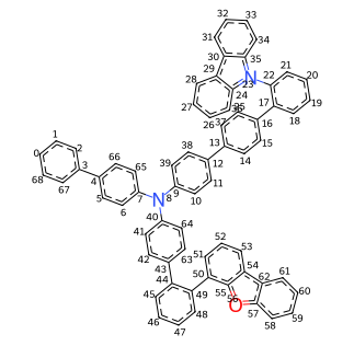 c1ccc(-c2ccc(N(c3ccc(-c4ccc(-c5ccccc5-n5c6ccccc6c6ccccc65)cc4)cc3)c3ccc(-c4ccccc4-c4cccc5c4oc4ccccc45)cc3)cc2)cc1